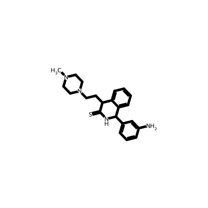 CN1CCN(CCC2C(=S)NC(c3cccc(N)c3)c3ccccc32)CC1